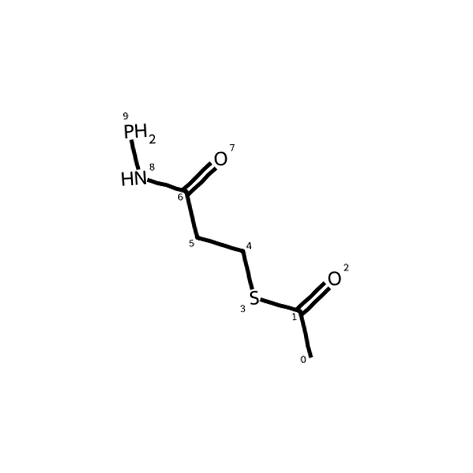 CC(=O)SCCC(=O)NP